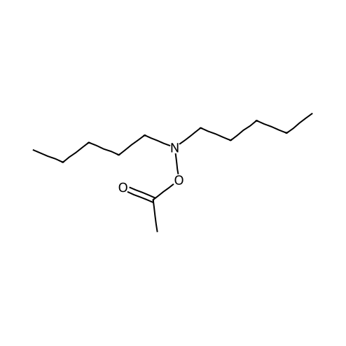 CCCCCN(CCCCC)OC(C)=O